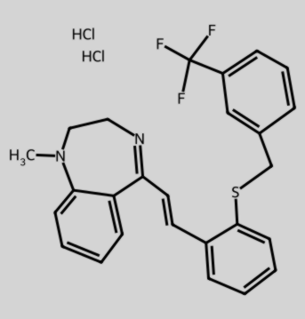 CN1CCN=C(C=Cc2ccccc2SCc2cccc(C(F)(F)F)c2)c2ccccc21.Cl.Cl